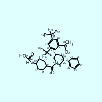 C[C@@H](O[C@H]1CCN(C(=O)C2CCC(NC(=O)O)CC2)C[C@H]1c1ccccc1)c1cc(C(F)(F)F)cc(C(F)(F)F)c1